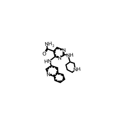 NC(=O)c1cnc(NC2CCCNC2)nc1Nc1cnc2ccccc2c1